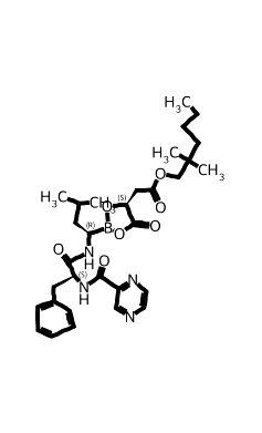 CCCCC(C)(C)COC(=O)C[C@@H]1OB([C@H](CC(C)C)NC(=O)[C@H](Cc2ccccc2)NC(=O)c2cnccn2)OC1=O